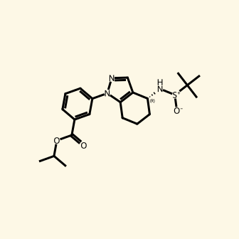 CC(C)OC(=O)c1cccc(-n2ncc3c2CCC[C@H]3N[S+]([O-])C(C)(C)C)c1